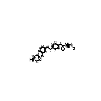 NNC(=O)Cc1ccc(CCc2cccc(CN3CCNCC3)c2)cc1